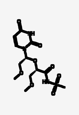 COC[C@H](O[C@H](COC)n1ccc(=O)[nH]c1=O)C(=O)NS(C)(=O)=O